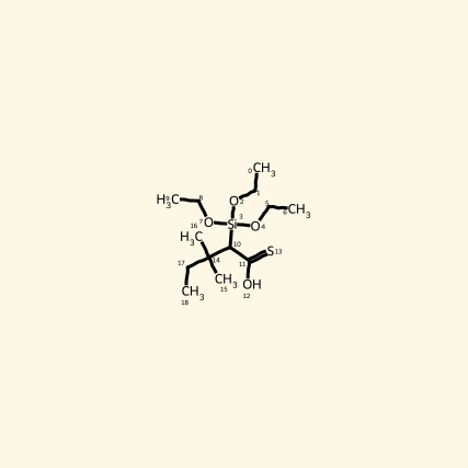 CCO[Si](OCC)(OCC)C(C(O)=S)C(C)(C)CC